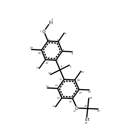 CCOc1c(C)c(C)c(C(C)(C)c2c(C)c(C)c(OC(C)(C)CC)c(C)c2C)c(C)c1C